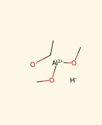 CC[O-].C[O][Al+2][O]C.[H-]